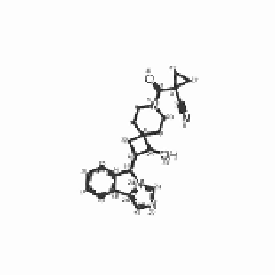 N#CC1(C(=O)N2CCC3(CC2)CC(C2c4ccccc4-c4cncn42)C3O)CC1